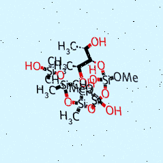 CO[Si](O)(O[C@@H]([C@H](C)O)[C@@H](C)O)O[Si](O)(OC)O[Si](C)(C)O[Si](C)(C)O[Si](C)(C)O